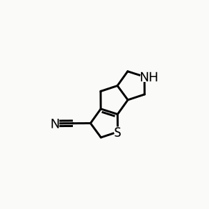 N#CC1CSC2=C1CC1CNCC21